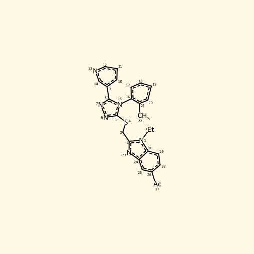 CCn1c(CSc2nnc(-c3cccnc3)n2-c2ccccc2C)nc2cc(C(C)=O)ccc21